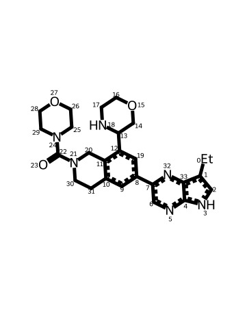 CCc1c[nH]c2ncc(-c3cc4c(c(C5COCCN5)c3)CN(C(=O)N3CCOCC3)CC4)nc12